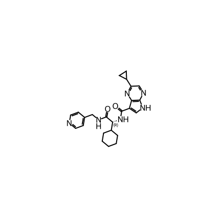 O=C(N[C@@H](C(=O)NCc1ccncc1)C1CCCCC1)c1c[nH]c2ncc(C3CC3)nc12